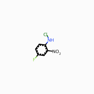 O=[N+]([O-])c1cc(F)ccc1NCl